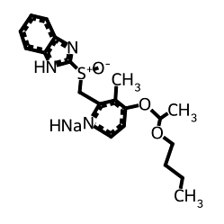 CCCCOC(C)Oc1ccnc(C[S+]([O-])c2nc3ccccc3[nH]2)c1C.[NaH]